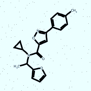 Cc1ccc(-c2cc(C(=O)N(C3CC3)C(C)c3ccco3)on2)cc1